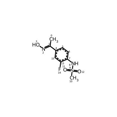 CC(=NO)c1ccc(NS(C)(=O)=O)c(F)c1